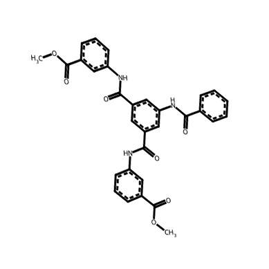 COC(=O)c1cccc(NC(=O)c2cc(NC(=O)c3ccccc3)cc(C(=O)Nc3cccc(C(=O)OC)c3)c2)c1